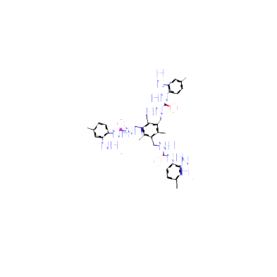 Cc1ccc(NC(=O)NCc2c(C)c(CNC(=O)Nc3ccc(C)cc3N)c(C)c(CNC(=O)Nc3ccc(C)cc3N)c2C)c(N)c1